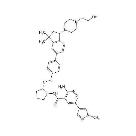 Cn1cc(-c2cnc(N)c(C(=O)N[C@H]3CCC[C@@H]3OCc3ccc(-c4ccc5c(c4)C(C)(C)C[C@@H]5N4CCN(CCO)CC4)cc3)c2)cn1